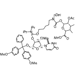 C=C1NC(=O)C=CN1[C@@H]1O[C@H](COC(c2ccccc2)(c2ccc(OC)cc2)c2ccc(OC)cc2)C(OP(OCCCCCN(CCCCCCCCCC)C(=O)OC2OC(C(=O)OC)C(C)C(C)C2OC(C)=O)N(C(C)C)C(C)C)[C@@H]1OC